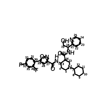 O=C(N[C@H]1CCN(C2CCCCC2)C[C@@H]1C(=O)NC(CO)c1ccccn1)c1cc(-c2ccc(F)cc2F)on1